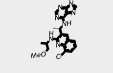 COCC(C)Nc1nc2c(Cl)cccc2cc1[C@H](C)Nc1ncnc2[nH]cnc12